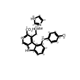 COCc1c(C(=O)O)ncc2[nH]c3cccc(Oc4ccc(Cl)cc4)c3c12.c1c[nH]cn1